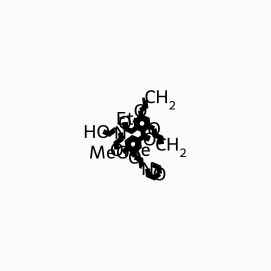 C=CCOc1cc(OCC=C)c(C(=O)c2ccc(OC)c(OCCN3CCOCC3)c2)c(CC(=O)N(CCO)CCOC)c1CC